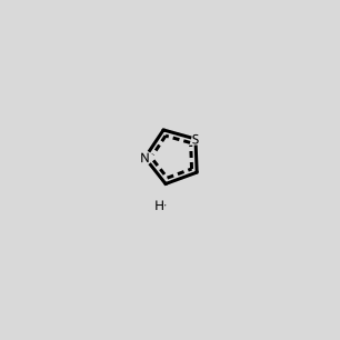 [H].c1cscn1